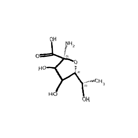 C[C@H](O)[C@H]1O[C@](N)(C(=O)O)C(O)C1O